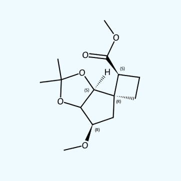 COC(=O)[C@H]1CC[C@@]12C[C@@H](OC)C1OC(C)(C)O[C@H]12